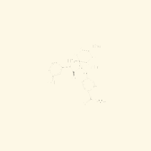 CCC[C@H](c1ccc(C(=O)OC)cc1)N1C(=O)C(c2cccc(Cl)c2)NC12CCC(C(C)(C)C)CC2